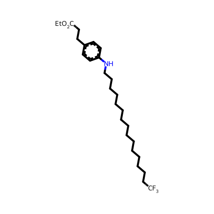 CCOC(=O)CCc1ccc(NCCCCCCCCCCCCCCCC(F)(F)F)cc1